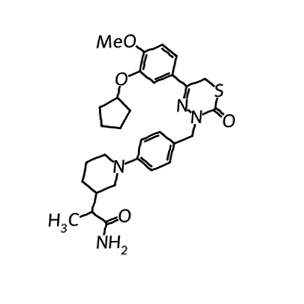 COc1ccc(C2=NN(Cc3ccc(N4CCCC(C(C)C(N)=O)C4)cc3)C(=O)SC2)cc1OC1CCCC1